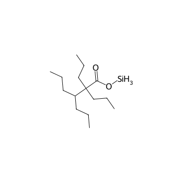 CCCC(CCC)C(CCC)(CCC)C(=O)O[SiH3]